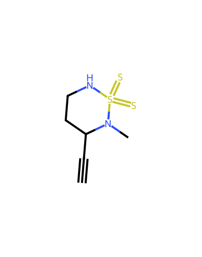 C#CC1CCNS(=S)(=S)N1C